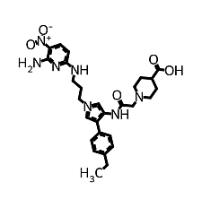 CCc1ccc(-c2cn(CCCNc3ccc([N+](=O)[O-])c(N)n3)cc2NC(=O)CN2CCC(C(=O)O)CC2)cc1